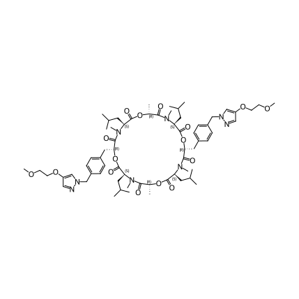 COCCOc1cnn(Cc2ccc(C[C@H]3OC(=O)[C@H](CC(C)C)N(C)C(=O)[C@@H](C)OC(=O)[C@H](CC(C)C)N(C)C(=O)[C@@H](Cc4ccc(Cn5cc(OCCOC)cn5)cc4)OC(=O)[C@H](CC(C)C)N(C)C(=O)[C@@H](C)OC(=O)[C@H](CC(C)C)N(C)C3=O)cc2)c1